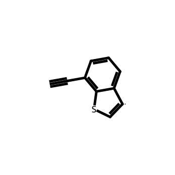 C#Cc1cccc2[c]csc12